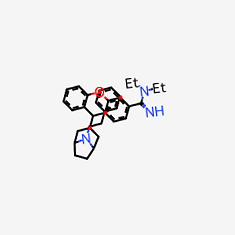 CCN(CC)C(=N)c1ccc2c(c1)Oc1ccccc1C2C1CC2CCC(C1)N2CCc1ccccc1